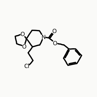 O=C(OCc1ccccc1)N1CCC2(OCCO2)C(CCCl)C1